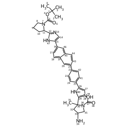 CC(C)(C)OC(=O)N1CCCC1c1ncc(-c2ccc3cc(-c4ccc(-c5cnc(C6(C)CC(N)CN6C(=O)O)[nH]5)cc4)ccc3c2)[nH]1